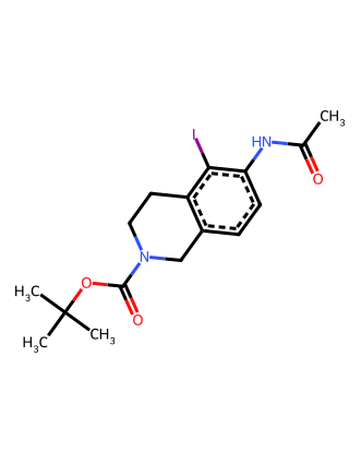 CC(=O)Nc1ccc2c(c1I)CCN(C(=O)OC(C)(C)C)C2